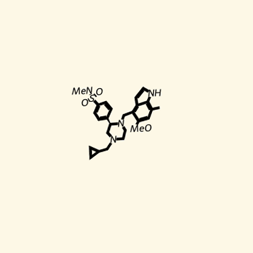 CNS(=O)(=O)c1ccc([C@@H]2CN(CC3CC3)CCN2Cc2c(OC)cc(C)c3[nH]ccc23)cc1